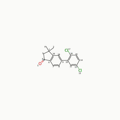 CC1(C)CC(=O)c2ccc(-c3cc(Cl)ccc3Cl)cc21